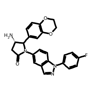 N[C@H]1CC(=O)N(c2ccc3c(cnn3-c3ccc(F)cc3)c2)C1c1ccc2c(c1)OCCO2